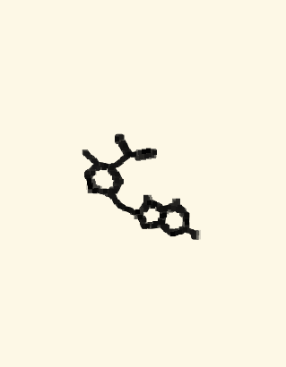 COC(=O)c1cc(Cn2cc3cc(Cl)cnc3n2)ncc1C